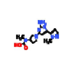 CN(C(=O)O)[C@@H]1CCN(c2cc(-c3ccnn3C)nc(N)n2)C1